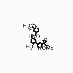 COc1ncc(-c2cc(NC(=O)c3ccnc(C(C)(F)F)c3)ccc2C)cc1C1(CF)COC1